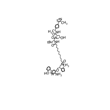 Cc1ncsc1-c1ccc(C(C)NC(=O)C2CC(O)CN2C(=O)C(NC(=O)CCCCCCCCCCC(=O)N(C)CC(COc2cc(-c3ccccc3O)nnc2N)c2ccccc2)C(C)(C)C)cc1